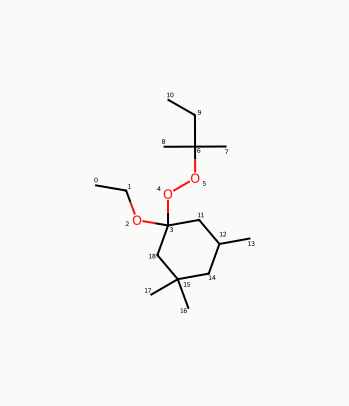 CCOC1(OOC(C)(C)CC)CC(C)CC(C)(C)C1